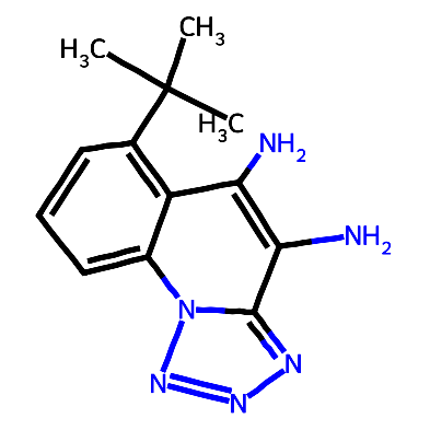 CC(C)(C)c1cccc2c1c(N)c(N)c1nnnn12